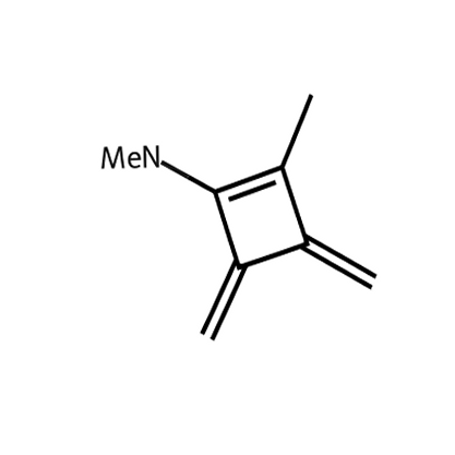 C=C1C(=C)C(NC)=C1C